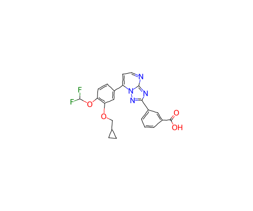 O=C(O)c1cccc(-c2nc3nccc(-c4ccc(OC(F)F)c(OCC5CC5)c4)n3n2)c1